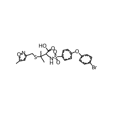 Cc1cc(CSC(C)(C)C(NS(=O)(=O)c2ccc(Oc3ccc(Br)cc3)cc2)C(=O)O)no1